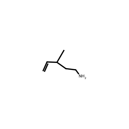 C=CC(C)CCN